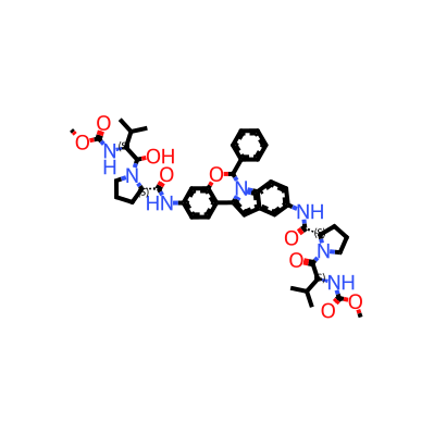 COC(=O)N[C@@H](C(C)C)C(O)N1CCC[C@H]1C(=O)Nc1ccc2c(c1)OC(c1ccccc1)n1c-2cc2cc(NC(=O)[C@@H]3CCCN3C(=O)[C@@H](NC(=O)OC)C(C)C)ccc21